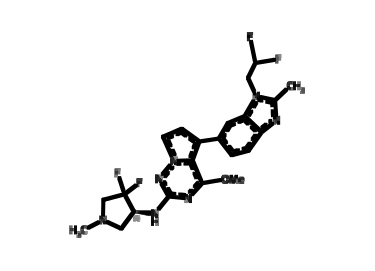 COc1nc(N[C@H]2CN(C)CC2(F)F)nn2ccc(-c3ccc4nc(C)n(CC(F)F)c4c3)c12